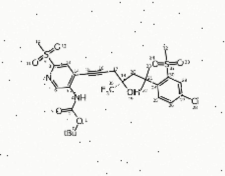 CC(C)(C)OC(=O)Nc1cnc(S(C)(=O)=O)cc1C#CC[C@](O)(CC(C)(C)c1ccc(Cl)cc1S(C)(=O)=O)C(F)(F)F